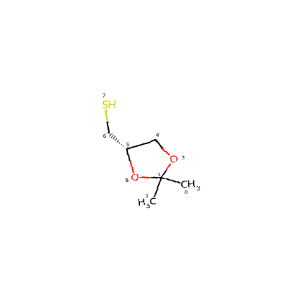 CC1(C)OC[C@@H](CS)O1